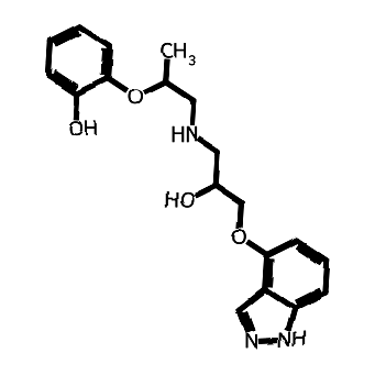 CC(CNCC(O)COc1cccc2[nH]ncc12)Oc1ccccc1O